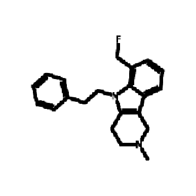 CN1CCc2c(c3cccc(CF)c3n2CCc2ccccc2)C1